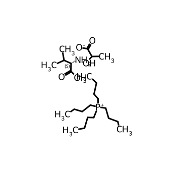 CC(C)[C@H](N)C(=O)O.CC(O)C(=O)[O-].CCCC[P+](CCCC)(CCCC)CCCC